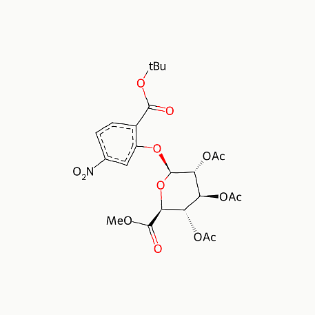 COC(=O)[C@H]1O[C@@H](Oc2cc([N+](=O)[O-])ccc2C(=O)OC(C)(C)C)[C@H](OC(C)=O)[C@@H](OC(C)=O)[C@@H]1OC(C)=O